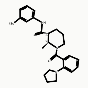 C[C@H]1[C@@H](C(=O)Nc2cccc(C(C)(C)C)c2)CCCN1C(=O)c1ccccc1N1CCCC1